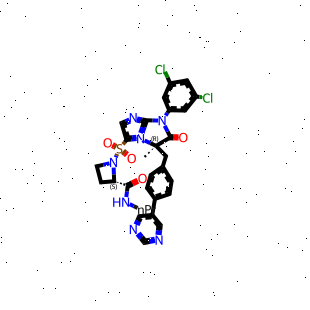 CCCNC(=O)[C@@H]1CCN1S(=O)(=O)c1cnc2n1[C@](C)(Cc1ccc(-c3cncnc3)cc1)C(=O)N2c1cc(Cl)cc(Cl)c1